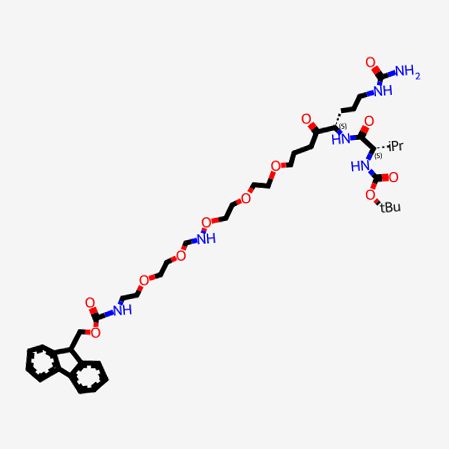 CC(C)[C@H](NC(=O)OC(C)(C)C)C(=O)N[C@@H](CCCNC(N)=O)C(=O)CCCOCCOCCONCOCCOCCNC(=O)OCC1c2ccccc2-c2ccccc21